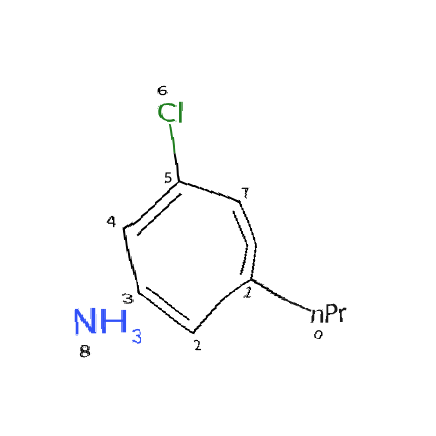 CCCc1cccc(Cl)c1.N